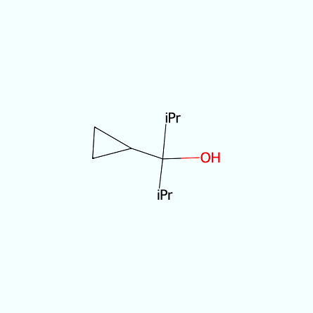 CC(C)C(O)(C(C)C)C1CC1